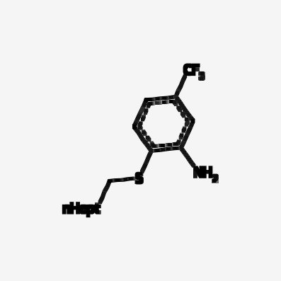 CCCCCCCCSc1ccc(C(F)(F)F)cc1N